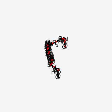 C=CC(=O)OCCOC(=O)NC1CC(C)(C)CC(C)(CNC(=O)OCCCCCCOCCC[Si](C)(C)O[SiH2][Si](=O)[Si](=O)[Si](=O)[Si](=O)[Si](=O)[Si](=O)[Si](=O)[Si](=O)[Si](=O)[Si](=O)[Si](=O)[Si](=O)[Si](=O)[Si](=O)[Si](=O)[Si](=O)[Si](=O)[Si](=O)[Si](=O)[Si](=O)[Si](=O)[Si](=O)[Si](=O)[Si](=O)[Si](=O)[Si](C)(C)O[Si](C)(C)CCCOCCC(=O)C2(C)CC(NC(=O)OCCOC(=O)C=C)CC(C)(C)C2)C1